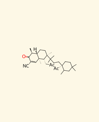 CC(=O)C[C@@H]1[C@@]2(C)C=C(C#N)C(=O)[C@@H](C)[C@@H]2CC[C@@]1(C)C(C)(C)CC[C@@]1(C(C)=O)CCC(C)(C)CC1C